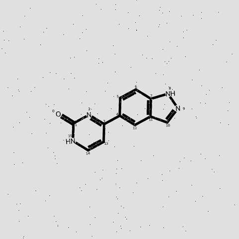 O=c1nc(-c2ccc3[nH]ncc3c2)cc[nH]1